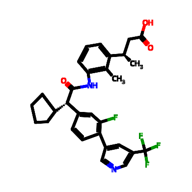 Cc1c(NC(=O)[C@H](c2ccc(-c3cncc(C(F)(F)F)c3)c(F)c2)C2CCCC2)cccc1[C@H](C)CC(=O)O